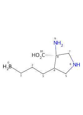 BCCCC1CNC[C@@]1(N)C(=O)O